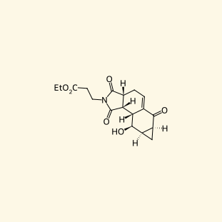 CCOC(=O)CCN1C(=O)[C@H]2[C@@H]3C(=CC[C@H]2C1=O)C(=O)[C@H]1C[C@H]1[C@H]3O